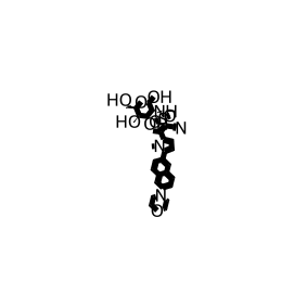 C/C(=C(/C#N)S(=O)(=O)N[C@H]1C(O)O[C@H](CO)[C@@H](O)[C@@H]1O)c1ccc(-c2ccc3cc(N4CCOCC4)ccc3c2)n1C